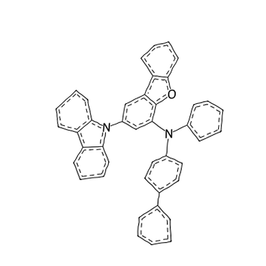 c1ccc(-c2ccc(N(c3ccccc3)c3cc(-n4c5ccccc5c5ccccc54)cc4c3oc3ccccc34)cc2)cc1